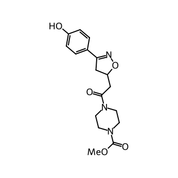 COC(=O)N1CCN(C(=O)CC2CC(c3ccc(O)cc3)=NO2)CC1